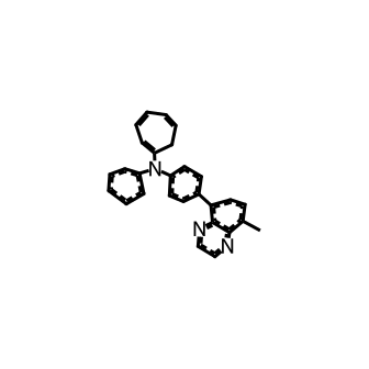 Cc1ccc(-c2ccc(N(C3=CC=CC=CC3)c3ccccc3)cc2)c2nccnc12